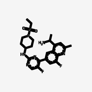 CCS(=O)(=O)N1CCC(Nc2ncc(F)c(-c3cc(F)c4nc(C)cc(C(C)N)c4c3)n2)CC1